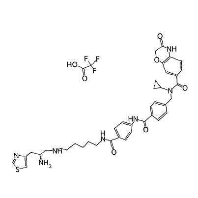 N[C@H](CNCCCCCCNC(=O)c1ccc(NC(=O)c2ccc(CN(C(=O)c3ccc4c(c3)OCC(=O)N4)C3CC3)cc2)cc1)Cc1cscn1.O=C(O)C(F)(F)F